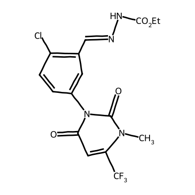 CCOC(=O)N/N=C/c1cc(-n2c(=O)cc(C(F)(F)F)n(C)c2=O)ccc1Cl